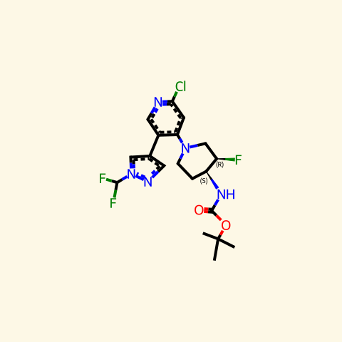 CC(C)(C)OC(=O)N[C@H]1CCN(c2cc(Cl)ncc2-c2cnn(C(F)F)c2)C[C@H]1F